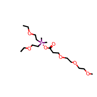 CCOCCP(C)(C)(CCOCC)OC(=O)CCOCCOCCOC